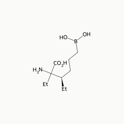 CC[C@H](CCCB(O)O)C(N)(CC)C(=O)O